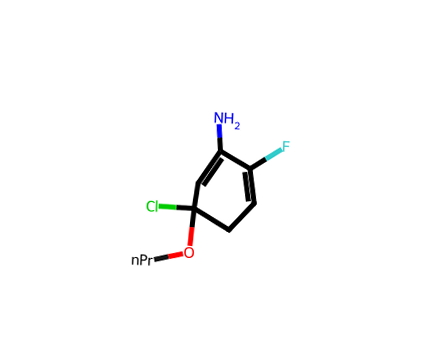 CCCOC1(Cl)C=C(N)C(F)=CC1